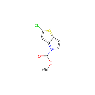 CC(C)(C)OC(=O)n1ccc2sc(Cl)cc21